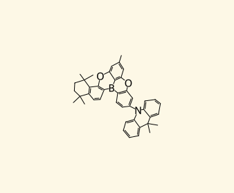 Cc1cc2c3c(c1)Oc1c(ccc4c1C(C)(C)CCC4(C)C)B3c1ccc(N3c4ccccc4C(C)(C)c4ccccc43)cc1O2